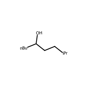 CCCCC(O)CCC(C)C